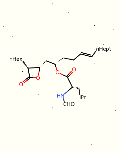 CCCCCCCC=CCC[C@@H](C[C@@H]1OC(=O)[C@H]1CCCCCC)OC(=O)[C@H](CC(C)C)NC=O